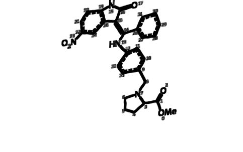 COC(=O)C1CCCN1Cc1ccc(NC(=C2C(=O)Nc3ccc([N+](=O)[O-])cc32)c2ccccc2)cc1